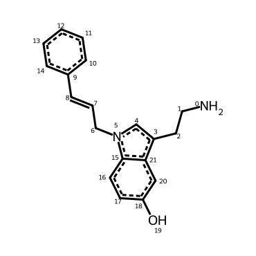 NCCc1cn(CC=Cc2ccccc2)c2ccc(O)cc12